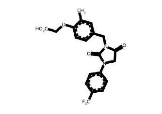 Cc1cc(CN2C(=O)CN(c3ccc(C(F)(F)F)cc3)C2=O)ccc1OCC(=O)O